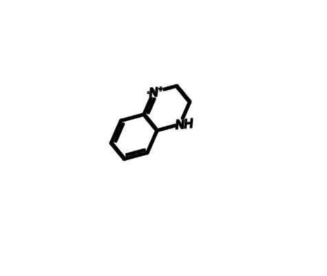 C1=CC2=[N+]CCNC2C=C1